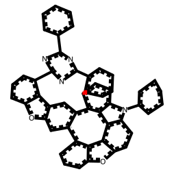 c1ccc(-c2nc(-c3ccccc3)nc(-c3cccc4oc5cc6c(cc5c34)c3cccc4c3c3c5c(ccc3n4-c3ccccc3)oc3cccc6c35)n2)cc1